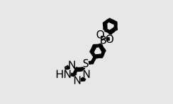 c1ccc2c(c1)OB(c1ccc(CSc3ncnc4[nH]cnc34)cc1)O2